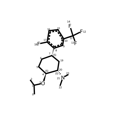 CC(C)O[C@H]1CC[C@H](c2cc(C(F)(F)F)ccc2F)C[C@@H]1N(C)C